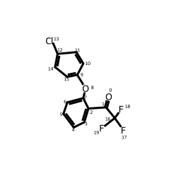 O=C(c1ccccc1Oc1ccc(Cl)cc1)C(F)(F)F